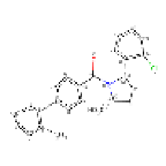 Cc1ccccc1-c1ccc(C(=O)N2[C@@H](C(=O)O)CC[C@H]2c2ccccc2Cl)cc1